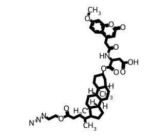 COc1ccc2c(CC(=O)NC(CC(=O)O)C(=O)O[C@@H]3CC[C@@]4(C)[C@H](CC[C@@H]5[C@@H]4CC[C@]4(C)C(C(C)CCC(=O)OCCN=[N+]=[N-])CC[C@@H]54)C3)cc(=O)oc2c1